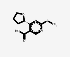 CSc1ncc(C(=O)O)c([C@@H]2CCCO2)n1